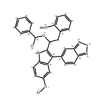 CCOc1ccc2[nH]c(C(Cc3ccccc3OC)OC(Cl)c3ccccc3)c(-c3ccc4nsnc4c3)c2c1